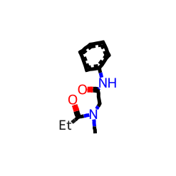 CCC(=O)N(C)CC(=O)Nc1ccccc1